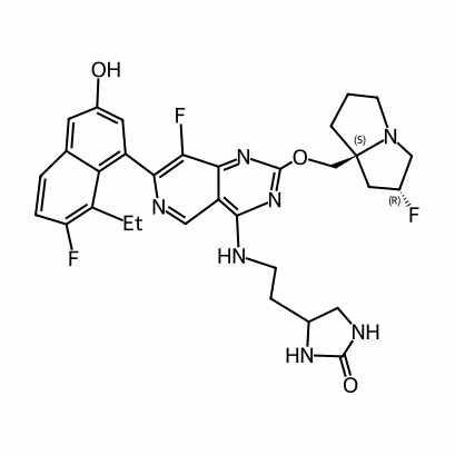 CCc1c(F)ccc2cc(O)cc(-c3ncc4c(NCCC5CNC(=O)N5)nc(OC[C@@]56CCCN5C[C@H](F)C6)nc4c3F)c12